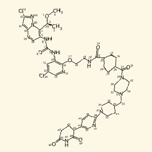 CO[C@@H](C)c1c(NC(=O)Nc2cc(Cl)cnc2OCCNC(=O)C2CCC(C(=O)N3CCN(CC4CCN(c5ccc(C6CCC(=O)NC6=O)cn5)CC4)CC3)CC2)cnc2cc(Cl)nn12